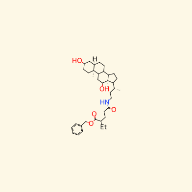 CCC(CCC(=O)NCC[C@@H](C)C1CCC2C3CC[C@@H]4C[C@H](O)CC[C@]4(C)C3C[C@H](O)[C@@]21C)C(=O)OCc1ccccc1